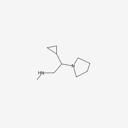 CNCC(C1CC1)N1CCCC1